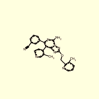 Cc1cnccc1-c1c(-c2cccc(C#N)c2)nc(N)n2nc(OCc3ncccc3C)nc12